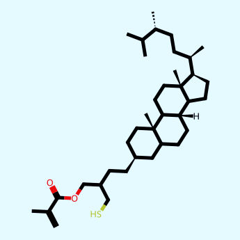 C=C(C)C(=O)OCC(CS)CC[C@H]1CC[C@@]2(C)C(CC[C@@H]3C2CC[C@@]2(C)C3CC[C@@H]2[C@H](C)CC[C@@H](C)C(C)C)C1